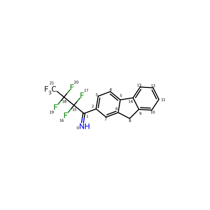 N=C(c1ccc2c(c1)Cc1ccccc1-2)C(F)(F)C(F)(F)C(F)(F)F